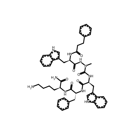 CN(NC(=O)[C@@H](Cc1c[nH]c2ccccc12)NC(=O)CCc1ccccc1)C(=O)N[C@@H](Cc1c[nH]c2ccccc12)C(=O)N[C@H](Cc1ccccc1)C(=O)N[C@@H](CCCCN)C(N)=O